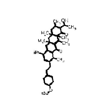 CC1=C2C(=O)C3C(C)C(CCC4CCC(OC(C)(C)C)CC4)CC(C(C)C)C3CC2(C)CC2(C)CC(C)C(C(C)O)C(=O)C12C